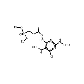 CCOP(=O)(CSC(C)ONc1nc(NC=O)nc(Cl)c1NC=O)OCC